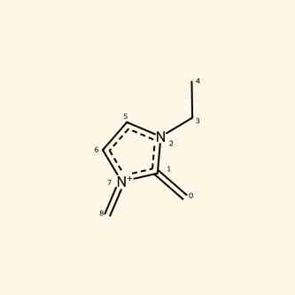 C=c1n(CC)cc[n+]1=C